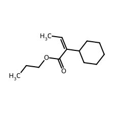 CC=C(C(=O)OCCC)C1CCCCC1